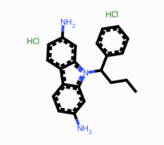 CCCC(c1ccccc1)n1c2cc(N)ccc2c2ccc(N)cc21.Cl.Cl